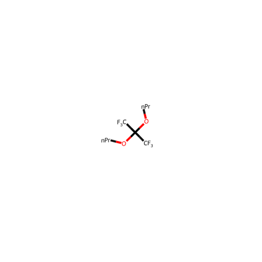 CCCOC(OCCC)(C(F)(F)F)C(F)(F)F